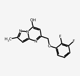 Cc1cc2nc(COc3cccc(F)c3F)cc(O)n2n1